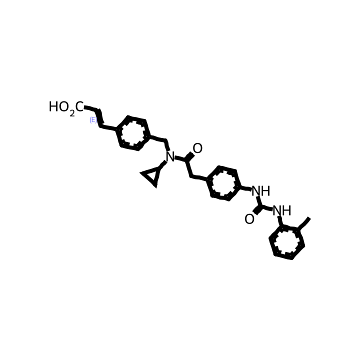 Cc1ccccc1NC(=O)Nc1ccc(CC(=O)N(Cc2ccc(/C=C/C(=O)O)cc2)C2CC2)cc1